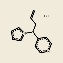 C=CCN(c1ccncc1)n1cccc1.Cl